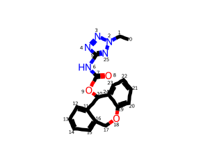 CCn1nnc(NC(=O)OC2c3ccccc3COc3ccccc32)n1